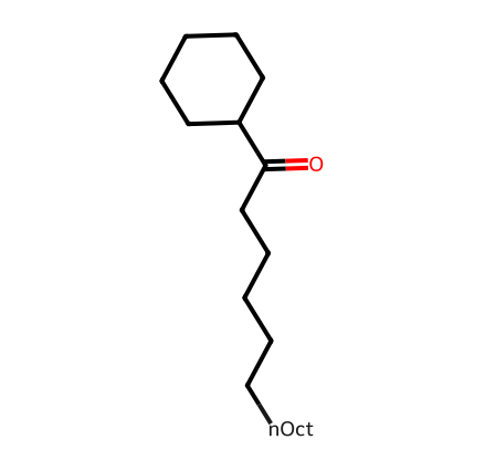 CCCCCCCCCCCCCC(=O)C1CCCCC1